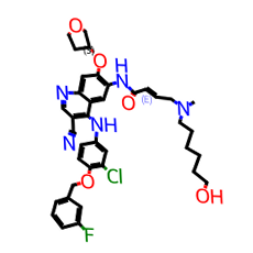 CN(C/C=C/C(=O)Nc1cc2c(Nc3ccc(OCc4cccc(F)c4)c(Cl)c3)c(C#N)cnc2cc1O[C@H]1CCOC1)CCCCCCO